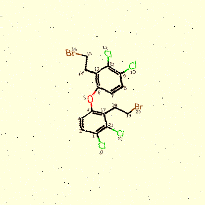 Clc1ccc(Oc2ccc(Cl)c(Cl)c2CCBr)c(CCBr)c1Cl